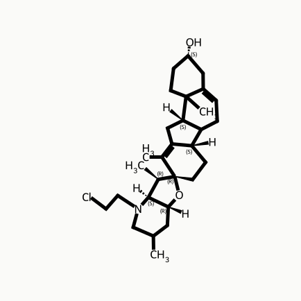 CC1=C2C[C@H]3C(CC=C4C[C@@H](O)CCC43C)[C@@H]2CC[C@]12O[C@@H]1CC(C)CN(CCCl)[C@H]1[C@H]2C